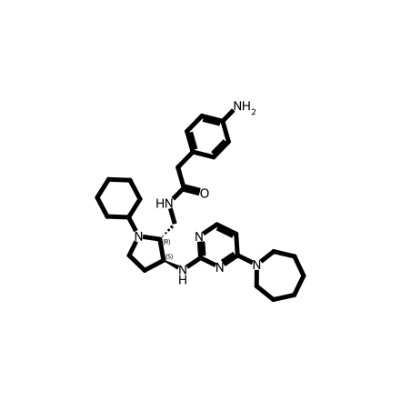 Nc1ccc(CC(=O)NC[C@@H]2[C@@H](Nc3nccc(N4CCCCCC4)n3)CCN2C2CCCCC2)cc1